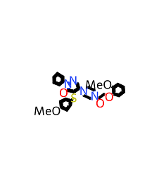 COc1ccc(Sc2c(N3CCN(C(=O)COc4ccccc4OC)CC3)cnn(-c3ccccc3)c2=O)cc1